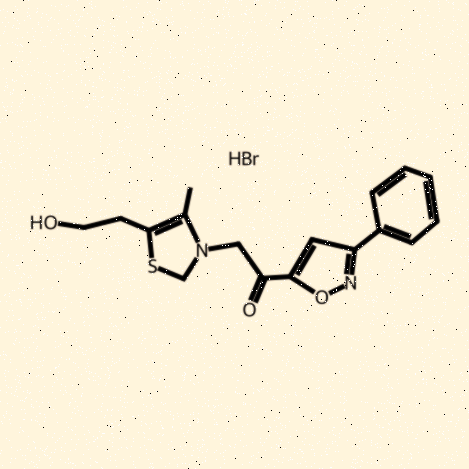 Br.CC1=C(CCO)SCN1CC(=O)c1cc(-c2ccccc2)no1